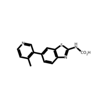 Cc1ccncc1-c1ccc2nc(NC(=O)O)sc2c1